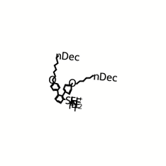 CCCCCCCCCCCCCCCCOc1ccc(-c2cccc([SH2+])c2-c2ccc(OCCCCCCCCCCCCCCCC)cc2)cc1.F[B-](F)(F)F